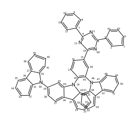 c1ccc(-c2nc(-c3ccccc3)nc(-c3ccc(-n4c5ccccc5c5ccc(-n6c7ccccc7c7ccccc76)cc54)c(-n4c5ccccc5c5ccccc54)c3)n2)cc1